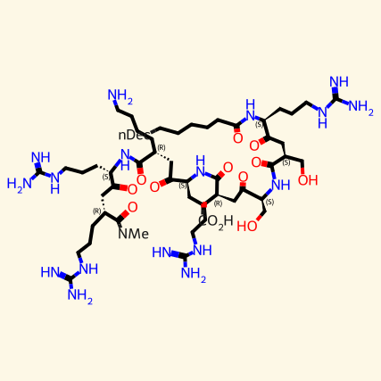 CCCCCCCCCCCCCCCC(=O)N[C@@H](CCCNC(=N)N)C(=O)C[C@@H](CO)C(=O)N[C@@H](CO)C(=O)C[C@@H](CCCNC(=N)N)C(=O)N[C@@H](CCC(=O)O)C(=O)C[C@@H](CCCCN)C(=O)N[C@@H](CCCNC(=N)N)C(=O)C[C@@H](CCCNC(=N)N)C(=O)NC